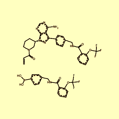 C=CC(=O)N1CCC[C@@H](n2nc(-c3ccc(CNC(=O)c4ccccc4OC(F)(F)F)cc3)c3c(N)ncnc32)C1.O=C(NCc1ccc(B(O)O)cc1)c1ccccc1OC(F)(F)F